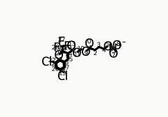 O=C(CCCO[N+](=O)[O-])OCOC(=O)C1=Cc2cc(Cl)cc(Cl)c2OC1C(F)(F)F